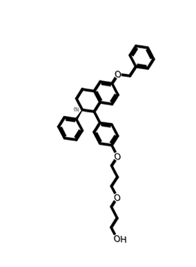 OCCCOCCCOc1ccc(C2c3ccc(OCc4ccccc4)cc3CC[C@@H]2c2ccccc2)cc1